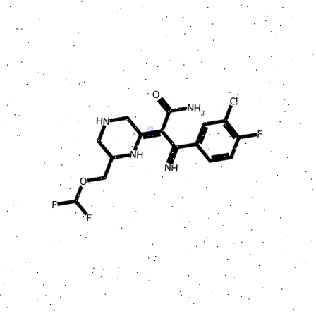 N=C(/C(C(N)=O)=C1/CNCC(COC(F)F)N1)c1ccc(F)c(Cl)c1